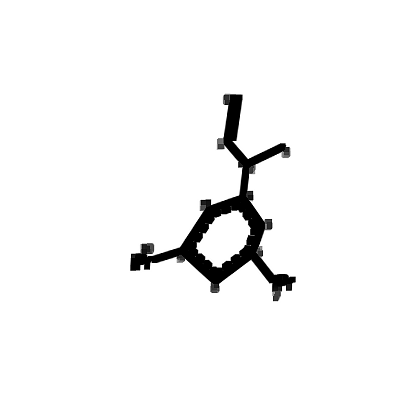 C=C[C](C)c1cc(C(C)C)cc(C(C)C)c1